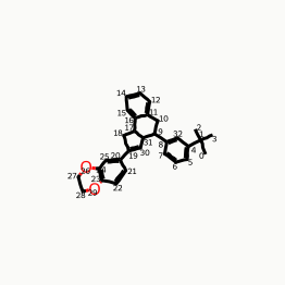 CC(C)(C)c1cccc(C2Cc3ccccc3C3CC(c4ccc5c(c4)OCCO5)=CC23)c1